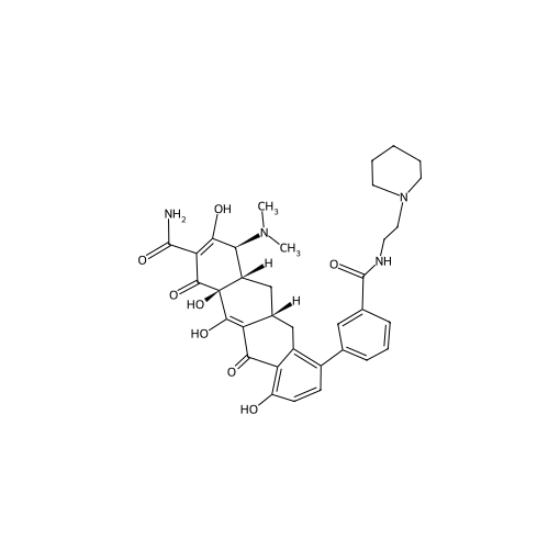 CN(C)[C@@H]1C(O)=C(C(N)=O)C(=O)[C@@]2(O)C(O)=C3C(=O)c4c(O)ccc(-c5cccc(C(=O)NCCN6CCCCC6)c5)c4C[C@H]3C[C@@H]12